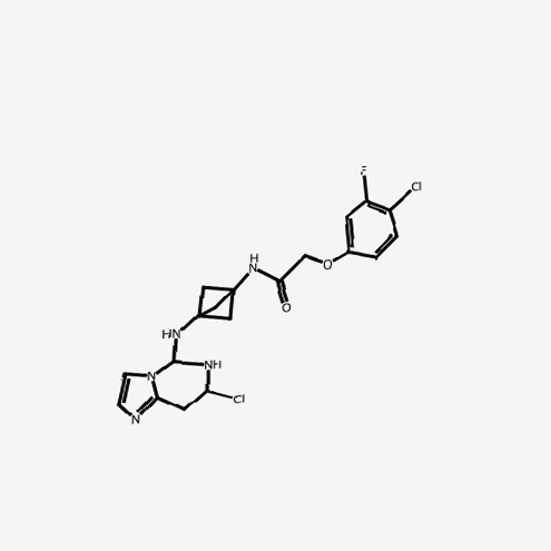 O=C(COc1ccc(Cl)c(F)c1)NC12CC(NC3NC(Cl)Cc4nccn43)(C1)C2